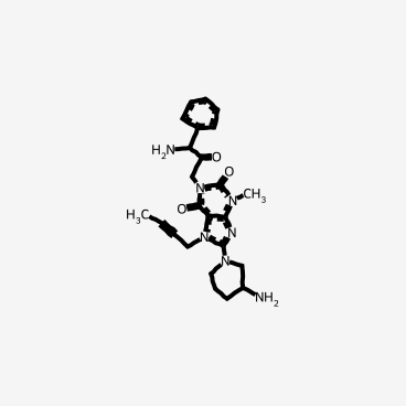 CC#CCn1c(N2CCCC(N)C2)nc2c1c(=O)n(CC(=O)C(N)c1ccccc1)c(=O)n2C